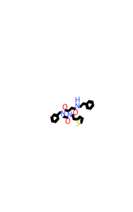 O=C(CC1C(=O)N(Cc2ccccc2)CC(=O)N1CCc1cccs1)NCCc1ccccc1